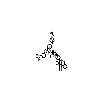 CCc1ccc(C[C@@H](NC(=O)ON2CCC(N3CCc4ccccc4NC3=O)CC2)C(=O)N2CCC(N3CCN(CC4CC4)CC3)CC2)cc1CC